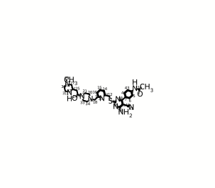 CC(=O)Nc1ccc(-c2nc(SCc3cccc(CN4CCN(C(=O)CC5CN(C)CCN5)CC4)n3)nc(N)c2C#N)cc1